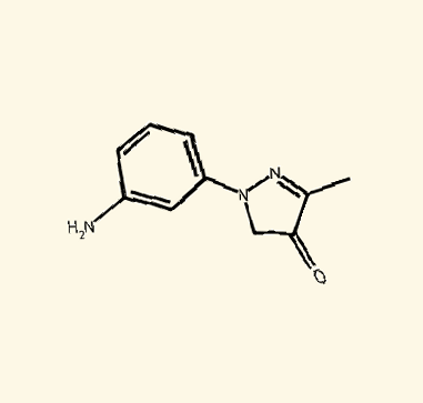 CC1=NN(c2cccc(N)c2)CC1=O